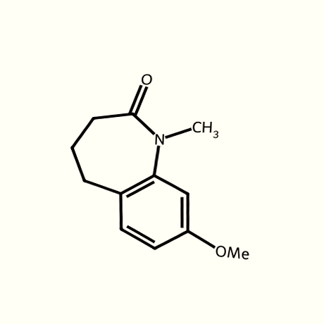 COc1ccc2c(c1)N(C)C(=O)CCC2